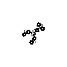 c1ccc2c(c1)Sc1ccccc1N2c1ccc(-c2nc(-c3ccc4oc5ccccc5c4c3)nc(-c3ccc4oc5ccccc5c4c3)n2)cc1